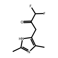 Cc1nc(C)c(CC(=O)C(F)F)[nH]1